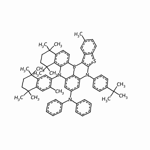 Cc1ccc2sc3c(c2c1)B1c2ccc4c(c2N(c2cc5c(cc2C)C(C)(C)CCC5(C)C)c2cc(N(c5ccccc5)c5ccccc5)cc(c21)N3c1ccc(C(C)(C)C)cc1)C(C)(C)CCC4(C)C